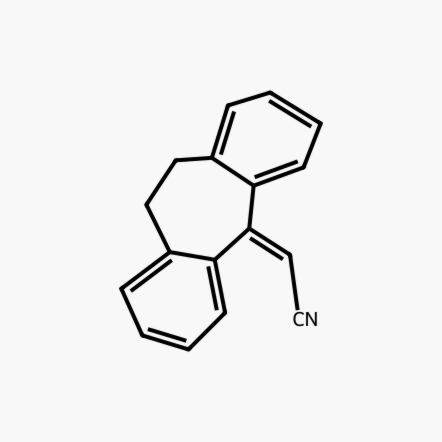 N#CC=C1c2ccccc2CCc2ccccc21